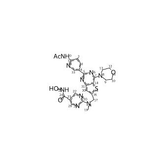 CC(=O)Nc1ccc(-c2nc(N3CCOCC3)c3sc(CN(C)c4ncc(C(=O)NO)cn4)cc3n2)cn1